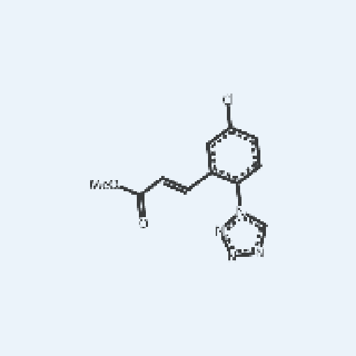 COC(=O)C=Cc1cc(Cl)ccc1-n1cnnn1